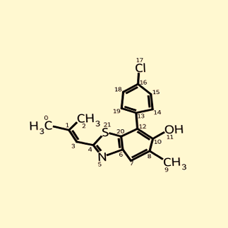 CC(C)=Cc1nc2cc(C)c(O)c(-c3ccc(Cl)cc3)c2s1